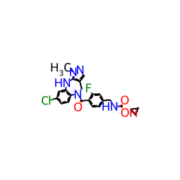 C1CC1.Cn1ncc2c1Nc1cc(Cl)ccc1N(C(=O)c1ccc(CNC(=O)O)cc1F)C2